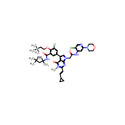 Cn1c(/C=C/C2CC2)nc2c(c(-c3cc(Cl)c(OCC[Si](C)(C)C)c(C(=O)NC(C)(C)CC(C)(C)C)c3)cn2CC(=O)Nc2cc(N3CCOCC3)ncc2Cl)c1=O